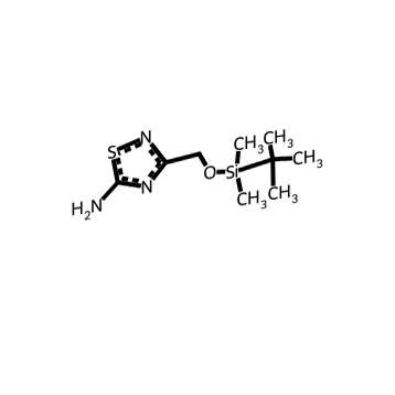 CC(C)(C)[Si](C)(C)OCc1nsc(N)n1